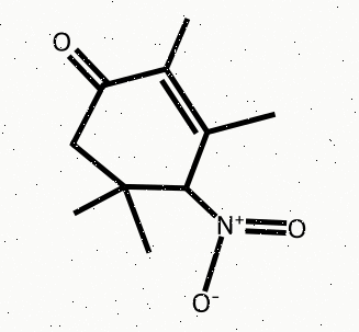 CC1=C(C)C([N+](=O)[O-])C(C)(C)CC1=O